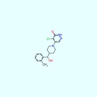 Cc1ccccc1C(O)C1CCN(c2cn[nH]c(=O)c2Cl)CC1